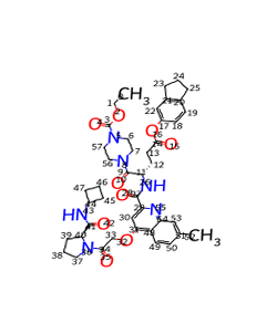 CCOC(=O)N1CCN(C(=O)[C@H](CCC(=O)Oc2ccc3c(c2)CCC3)NC(=O)c2cc(OCC(=O)N3CCC[C@H]3C(=O)NC3CCC3)c3ccc(C)cc3n2)CC1